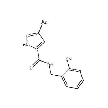 CC(=O)c1c[nH]c(C(=O)NCc2ccccc2C#N)c1